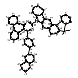 CC1(C)c2ccccc2-c2c1ccc1cc3c(cc21)c1ccccc1n3-c1nc(-c2ccc(-c3ccc4ccccc4c3)cc2)c2c3ccccc3c3ccccc3c2n1